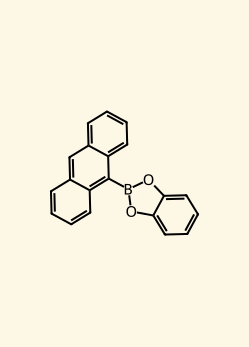 c1ccc2c(c1)OB(c1c3ccccc3cc3ccccc13)O2